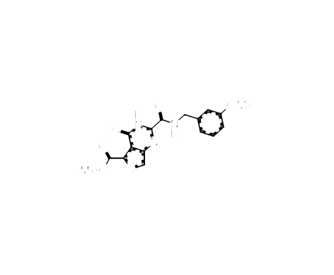 COC(=O)c1scc2nc(C(=O)NCc3cccc(OC)c3)[nH]c(=O)c12